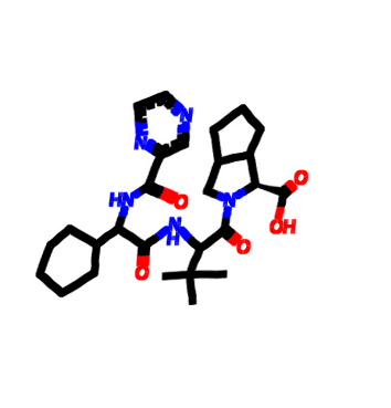 CC(C)(C)C(NC(=O)C(NC(=O)c1cnccn1)C1CCCCC1)C(=O)N1CC2CCCC2[C@H]1C(=O)O